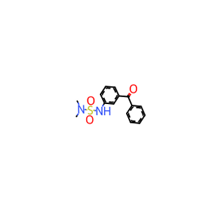 CN(C)S(=O)(=O)Nc1cccc(C(=O)c2ccccc2)c1